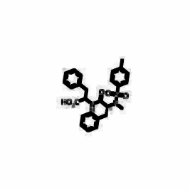 Cc1ccc(S(=O)(=O)N(C)[C@@H](Cc2ccccc2)C(=O)NC(Cc2ccccc2)C(=O)O)cc1